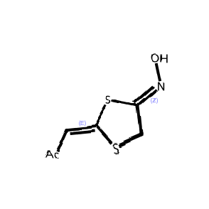 CC(=O)/C=C1\SC/C(=N/O)S1